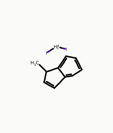 C[C]1C=Cc2ccccc21.[I][Hf][I]